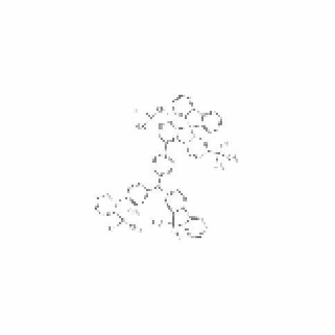 CC(C)(C)c1ccc2c(c1)C1(c3ccccc3-c3ccccc31)c1cc(C(C)(C)C)cc(-c3ccc(N(c4ccc(-c5ccccc5C(C)(C)C)cc4)c4ccc5c(c4)C(C)(C)c4ccccc4-5)cc3)c1-2